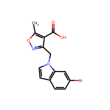 Cc1onc(Cn2ccc3ccc(Br)cc32)c1C(=O)O